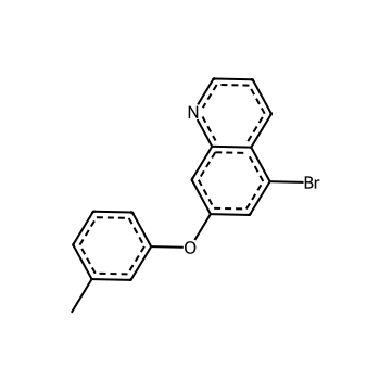 Cc1cccc(Oc2cc(Br)c3cccnc3c2)c1